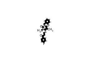 Cc1c(SCCC(=O)c2ccc(F)cc2)n(C)c(=O)n(Cc2ccccc2)c1=O